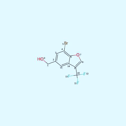 OCc1cc(Br)c2occ(C(F)(F)F)c2c1